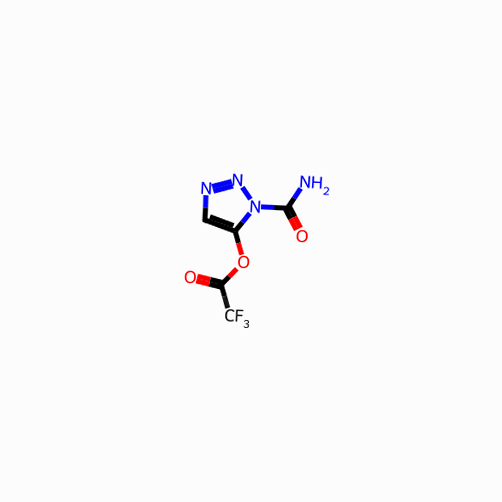 NC(=O)n1nncc1OC(=O)C(F)(F)F